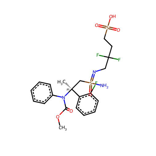 COC(=O)N(c1ccccc1)[C@@](C)(CS(N)(=O)=NCC(F)(F)CCS(=O)(=O)O)c1ccccc1F